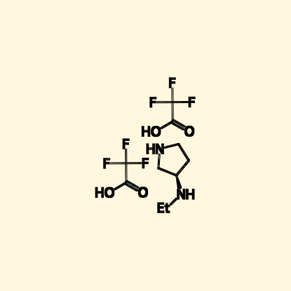 CCN[C@@H]1CCNC1.O=C(O)C(F)(F)F.O=C(O)C(F)(F)F